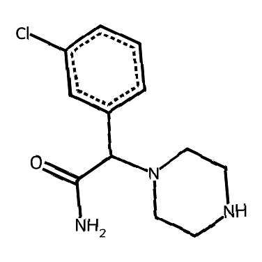 NC(=O)C(c1cccc(Cl)c1)N1CCNCC1